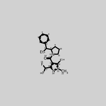 CCC(c1ccccc1)C1CCCN1C(=O)c1c(C(F)F)nn(C)c1F